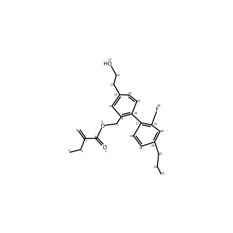 C=C(CC)C(=O)OCc1cc(CCO)ccc1-c1ccc(CCC)cc1F